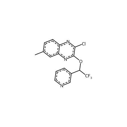 Cc1ccc2nc(Cl)c(OC(c3cccnc3)C(F)(F)F)nc2c1